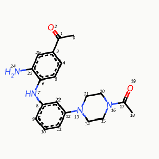 CC(=O)c1ccc(Nc2cccc(N3CCN(C(C)=O)CC3)c2)c(N)c1